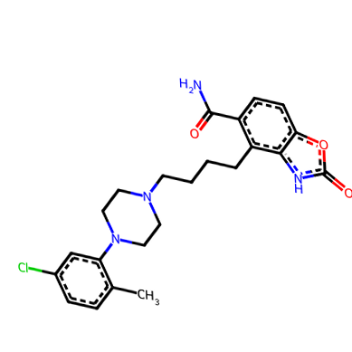 Cc1ccc(Cl)cc1N1CCN(CCCCc2c(C(N)=O)ccc3oc(=O)[nH]c23)CC1